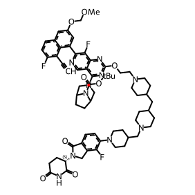 C#Cc1c(F)ccc2cc(OCOC)cc(-c3ncc4c(N5CC6CCC(C5)N6C(=O)OC(C)(C)C)nc(OCCN5CCC(CC6CCN(CC7CCN(c8ccc9c(c8F)CN([C@H]8CCC(=O)NC8=O)C9=O)CC7)CC6)CC5)nc4c3F)c12